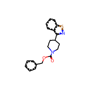 O=C(OCc1ccccc1)N1CCC(c2nsc3ccccc23)CC1